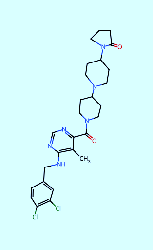 Cc1c(NCc2ccc(Cl)c(Cl)c2)ncnc1C(=O)N1CCC(N2CCC(N3CCCC3=O)CC2)CC1